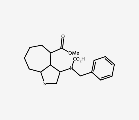 COC(=O)C1CCCCC2SCC(N(Cc3ccccc3)C(=O)O)C21